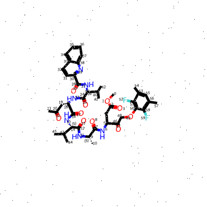 COC(=O)CC(NC(=O)[C@H](C)NC(=O)[C@@H](NC(=O)[C@H](CC(C)=O)NC(=O)[C@@H](NC(=O)c1ccc2ccccc2n1)C(C)C)C(C)C)C(=O)COc1c(F)c(C)cc(C)c1F